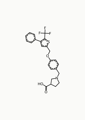 O=C(O)C1CCN(Cc2ccc(OCc3cc(-c4ccccc4)c(C(F)(F)F)s3)cc2)C1